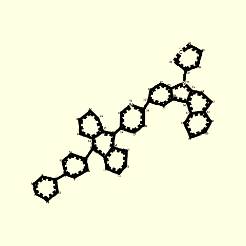 c1ccc(-c2ccc(-c3c4ccccc4c(-c4ccc(-c5ccc6c(c5)c5c7ccccc7ccc5n6-c5ccccc5)nc4)c4ccccc34)cc2)cc1